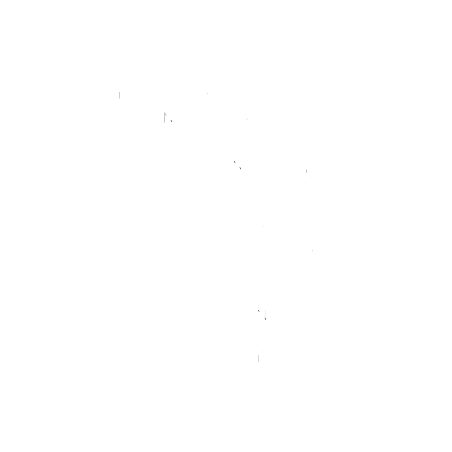 CC(C)N1CCC([C@@H](C)N2CCN(C(C)C)CC2)CC1